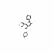 COC1(c2cc(F)ccc2F)NC(c2cncnc2)=C(C(=O)NC2CCC(F)(F)CC2)C=C1F